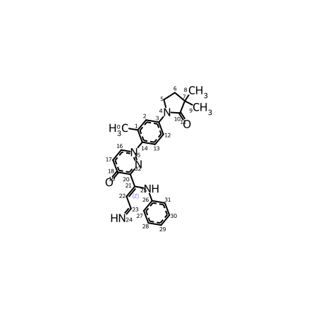 Cc1cc(N2CCC(C)(C)C2=O)ccc1-n1ccc(=O)c(/C(=C/C=N)Nc2ccccc2)n1